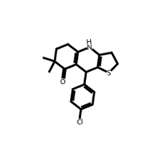 CC1(C)CCC2=C(C1=O)C(c1ccc(Cl)cc1)C1=C(CCS1)N2